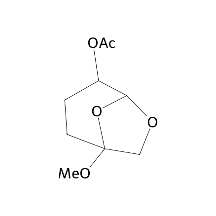 COC12CCC(OC(C)=O)C(OC1)O2